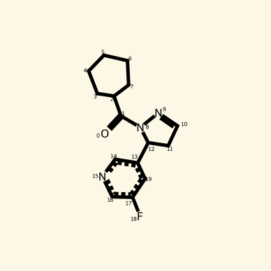 O=C(C1CCCCC1)N1N=CCC1c1cncc(F)c1